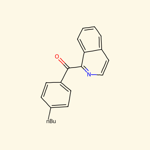 CCCCc1ccc(C(=O)c2nccc3ccccc23)cc1